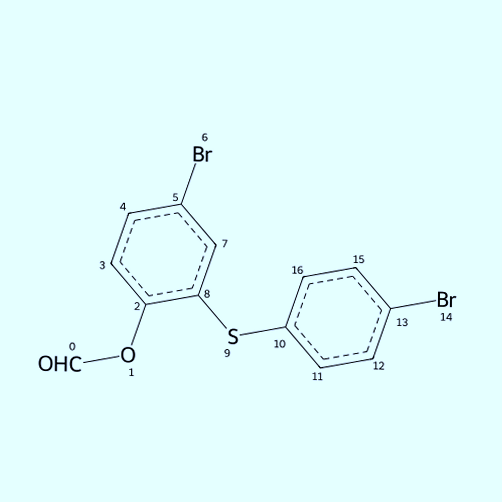 O=COc1ccc(Br)cc1Sc1ccc(Br)cc1